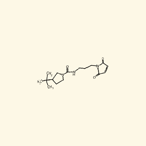 CC(C)(C)C1CCN(C(=O)NCCCN2C(=O)C=CC2=O)C1